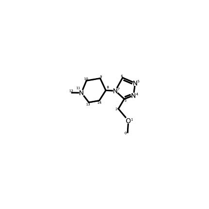 COCc1nncn1C1CCN(C)CC1